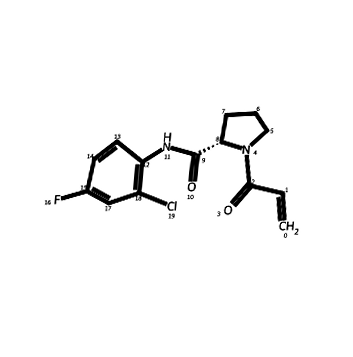 C=CC(=O)N1CCC[C@H]1C(=O)Nc1ccc(F)cc1Cl